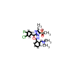 Cc1nc(C(OCc2ccccc2CN(C)C)c2ccc(F)c(Cl)c2)[nH]c1S(C)(=O)=O